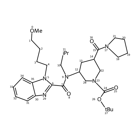 COCCCCn1c(C(=O)N(CC(C)C)C2CC(C(=O)N3CCCC3)CN(C(=O)OC(C)(C)C)C2)nc2ccccc21